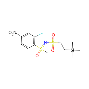 C[Si](C)(C)CCS(=O)(=O)N=S(C)(=O)c1ccc([N+](=O)[O-])cc1F